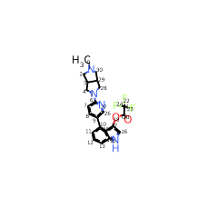 CN1CC2CN(c3ccc(-c4cccc5[nH]cc(OC(=O)C(F)(F)F)c45)cn3)CC2C1